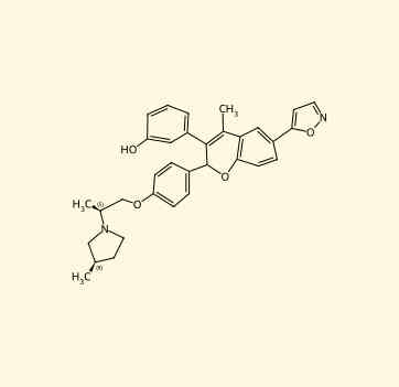 CC1=C(c2cccc(O)c2)C(c2ccc(OC[C@H](C)N3CC[C@@H](C)C3)cc2)Oc2ccc(-c3ccno3)cc21